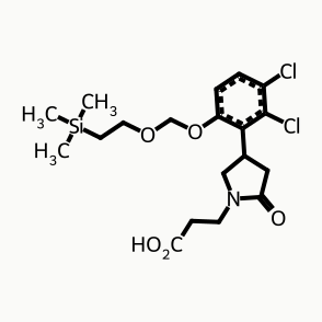 C[Si](C)(C)CCOCOc1ccc(Cl)c(Cl)c1C1CC(=O)N(CCC(=O)O)C1